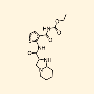 CCOC(=O)NC(=O)c1ccsc1NC(=O)C1CN2CCCCC2N1